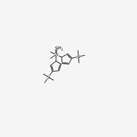 C[Si](C)(C)C1=C[CH]([Zr]([CH3])([CH3])(=[SiH2])[CH]2C=CC([Si](C)(C)C)=C2)C=C1